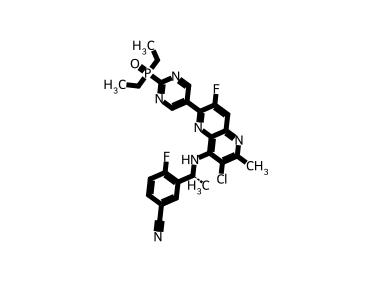 CCP(=O)(CC)c1ncc(-c2nc3c(N[C@H](C)c4cc(C#N)ccc4F)c(Cl)c(C)nc3cc2F)cn1